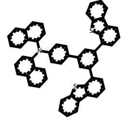 c1ccc2c(N(c3ccc(-c4cc(-c5cccc6c5sc5ccccc56)cc(-c5cccc6c5sc5ccccc56)c4)cc3)c3cccc4ccccc34)cccc2c1